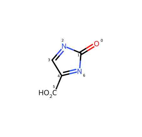 O=C1N=CC(C(=O)O)=N1